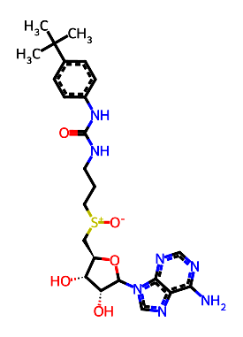 CC(C)(C)c1ccc(NC(=O)NCCC[S+]([O-])C[C@H]2OC(n3cnc4c(N)ncnc43)[C@H](O)[C@@H]2O)cc1